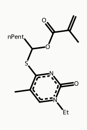 C=C(C)C(=O)OC(CCCCC)Sc1nc(=O)n(CC)cc1C